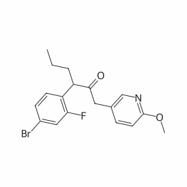 CCCC(C(=O)Cc1ccc(OC)nc1)c1ccc(Br)cc1F